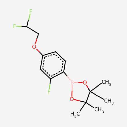 CC1(C)OB(c2ccc(OCC(F)F)cc2F)OC1(C)C